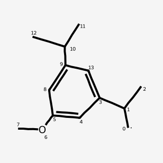 [CH2]C(C)c1cc(OC)cc(C(C)C)c1